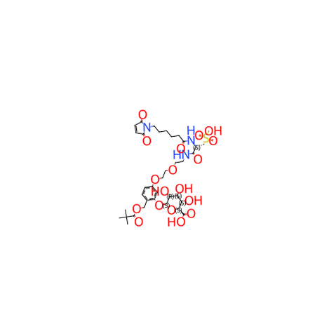 CC(C)(C)C(=O)OCc1ccc(OCCOCCNC(=O)[C@@H](CS(=O)(=O)O)NC(=O)CCCCCN2C(=O)C=CC2=O)cc1O[C@@H]1O[C@H](C(=O)O)[C@@H](O)[C@H](O)[C@H]1O